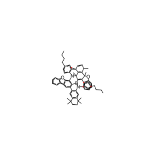 CCCCc1ccc(N2B3C4=C5c6ccccc6OC5(C)C5=C6C(C)(C=CC5C)c5cc(CCCC)ccc5N(c5c3c(cc3c5oc5ccccc53)-c3cc5c(cc32)C(C)(C)CCC5(C)C)C46C)cc1